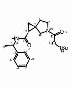 C[C@@H](NC(=O)[C@H]1C[C@]12CCN(C(=O)OC(C)(C)C)C2)c1ccccc1